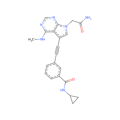 CNc1ncnc2c1c(C#Cc1cccc(C(=O)NC3CC3)c1)cn2CC(N)=O